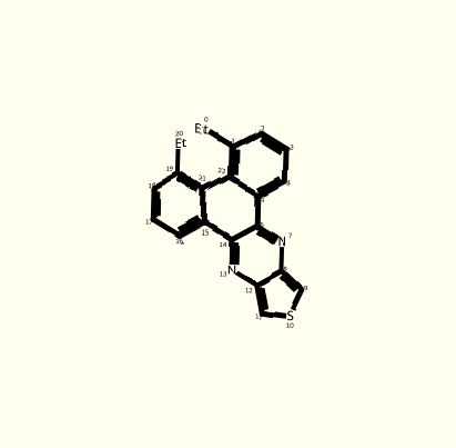 CCc1cccc2c3nc4cscc4nc3c3cccc(CC)c3c12